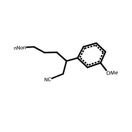 CCCCCCCCCCCCC(CC#N)c1cccc(OC)c1